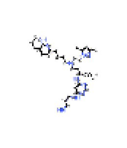 Cc1cc(C)n(CCN(CCCCc2ccc3c(n2)NCCC3)CC[C@H](Nc2cc(N/C=C\C=N)ncn2)C(=O)O)n1